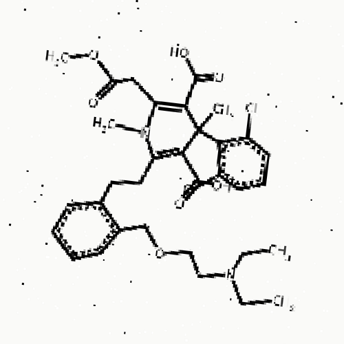 CCN(CC)CCOCc1ccccc1CCC1=C(C(=O)O)C(C)(c2c(Cl)cccc2Cl)C(C(=O)O)=C(CC(=O)OC)N1C